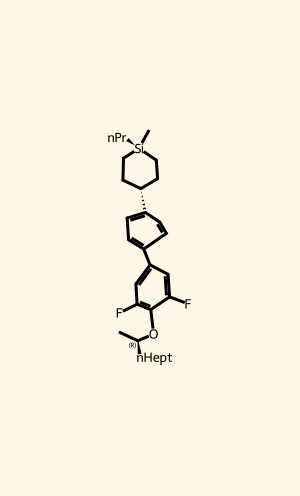 CCCCCCC[C@@H](C)Oc1c(F)cc(-c2ccc([C@H]3CC[Si@](C)(CCC)CC3)cc2)cc1F